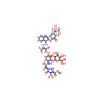 CC[C@@]1(O)C(=O)OCc2c1cc1n(c2=O)Cc2c-1nc1ccccc1c2CCN(C(=O)OCc1ccc(NC(=O)[C@H](C)NC(=O)[C@@H](NC(=O)CBr)C(C)C)c(O[C@@H]2O[C@H](C(=O)O)[C@@H](O)[C@H](O)[C@H]2O)c1)C(C)C